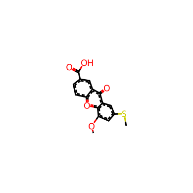 COc1cc(SC)cc2c(=O)c3cc(C(=O)O)ccc3oc12